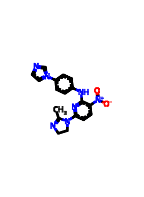 CC1=NCCN1c1ccc([N+](=O)[O-])c(Nc2ccc(-n3ccnc3)cc2)n1